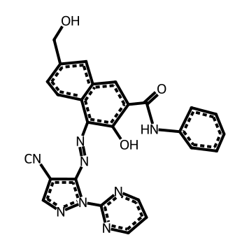 [C-]#[N+]c1cnn(-c2ncccn2)c1/N=N/c1c(O)c(C(=O)Nc2ccccc2)cc2cc(CO)ccc12